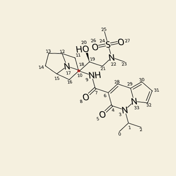 CC(C)n1c(=O)c(C(=O)NC2CC3CCC(C2)N3C[C@@H](O)CN(C)S(C)(=O)=O)cc2cccn21